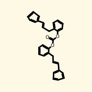 O=C(Oc1ccccc1C/C=C/c1ccccc1)Oc1ccccc1C/C=C/c1ccccc1